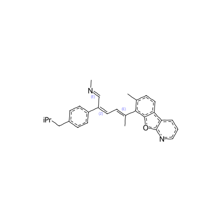 C/N=C/C(=C\C=C(/C)c1c(C)ccc2c1oc1ncccc12)c1ccc(CC(C)C)cc1